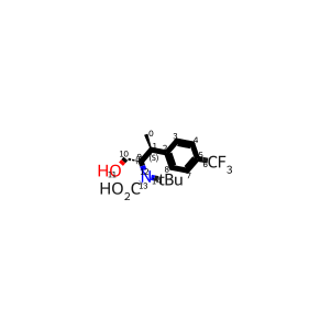 C[C@@H](c1ccc(C(F)(F)F)cc1)[C@@H](CO)N(C(=O)O)C(C)(C)C